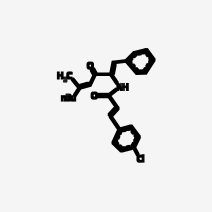 CCCC/C(C)=C/C(=O)/C(=C/c1ccccc1)NC(=O)/C=C/c1ccc(Cl)cc1